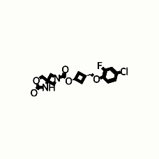 O=C1NC2(CO1)CN(C(=O)O[C@H]1C[C@@H](COc3ccc(Cl)cc3F)C1)C2